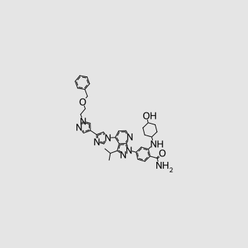 CC(C)c1nn(-c2ccc(C(N)=O)c(NC3CCC(O)CC3)c2)c2nccc(-n3cnc(-c4cnn(CCOCc5ccccc5)c4)c3)c12